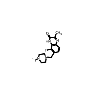 [2H]N1CCN(Cc2ccc3nc(C)c(=O)[nH]c3c2F)CC1